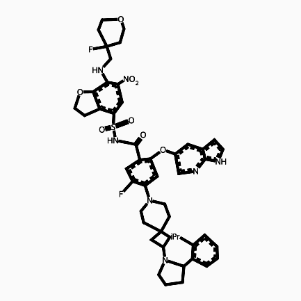 CC(C)c1ccccc1C1CCCN1C1CC2(CCN(c3cc(Oc4cnc5[nH]ccc5c4)c(C(=O)NS(=O)(=O)c4cc([N+](=O)[O-])c(NCC5(F)CCOCC5)c5c4CCO5)cc3F)CC2)C1